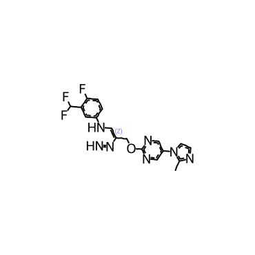 Cc1nccn1-c1cnc(OC/C(=C/Nc2ccc(F)c(C(F)F)c2)N=N)nc1